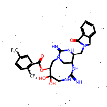 N=C1NCC(O)(O)[C@@H](OC(=O)c2cc(C(F)(F)F)ccc2C(F)(F)F)CN2CC(N1)[C@H](CN1Cc3ccccc3C1=O)NC2=N